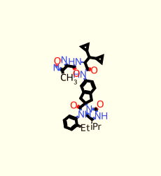 CCc1ccccc1NC(=O)C1(N2C[C@@H](C(C)C)NC2=O)Cc2ccc(NC(=O)[C@@H](NC(=O)c3nonc3C)C(C3CC3)C3CC3)cc2C1